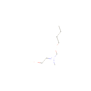 CCCCOCN(C)CCO